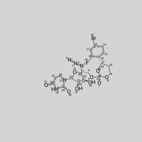 [N-]=[N+]=N[C@]1(COP2(=O)OCC[C@@H](c3ccc(Br)cc3F)O2)OC(n2ccc(=O)[nH]c2=O)[C@H](O)[C@@H]1O